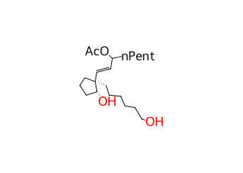 CCCCCC(/C=C/[C@]1(CCCCCCO)CCC[C@H]1O)OC(C)=O